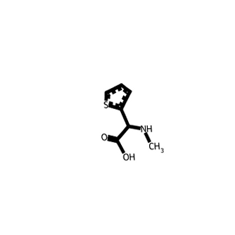 CNC(C(=O)O)c1cccs1